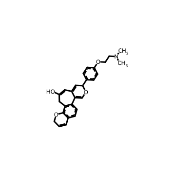 CN(C)CCOc1ccc(C2C=C3C=C(O)Cc4c(ccc5c4OCC=C5)C3=CO2)cc1